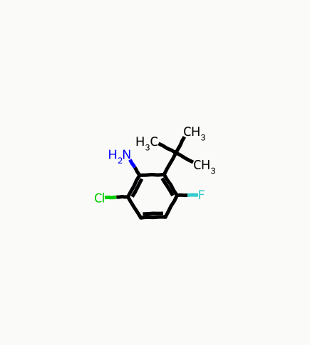 CC(C)(C)c1c(F)ccc(Cl)c1N